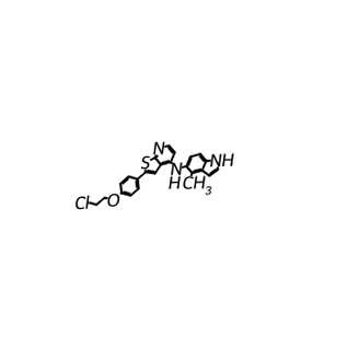 Cc1c(Nc2ccnc3sc(-c4ccc(OCCCl)cc4)cc23)ccc2[nH]ccc12